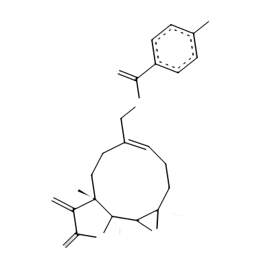 C=C1C(=O)O[C@H]2[C@H]1CC/C(COC(=O)c1ccc(Br)cc1)=C\CC[C@@]1(C)O[C@@H]21